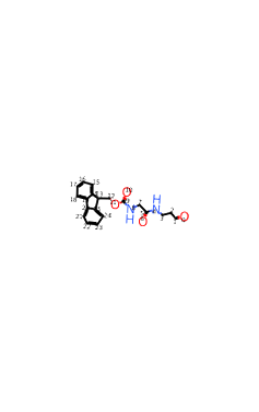 O=CCCNC(=O)CNC(=O)OCC1c2ccccc2-c2ccccc21